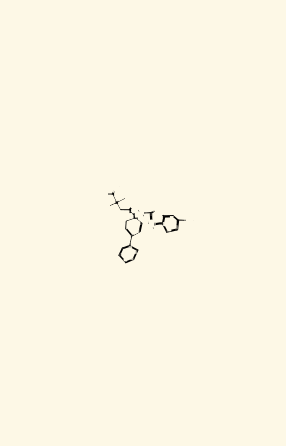 COc1ccc2nc(NC3(C(=O)CC(C)(C)C(=O)O)C=CC(c4ccccc4)=CC3)oc2c1